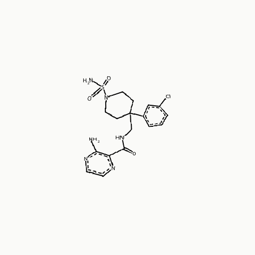 Nc1nccnc1C(=O)NCC1(c2cccc(Cl)c2)CCN(S(N)(=O)=O)CC1